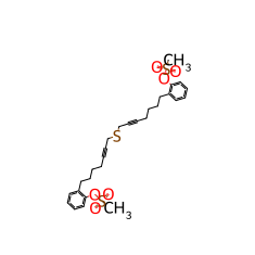 CS(=O)(=O)Oc1ccccc1CCCCC#CCSCC#CCCCCc1ccccc1OS(C)(=O)=O